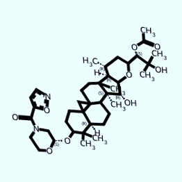 CC(=O)O[C@@H](C1C[C@@H](C)[C@H]2C(O1)[C@H](O)[C@@]1(C)C3CC[C@H]4C(C)(C)C(O[C@H]5CN(C(=O)c6ccno6)CCO5)CCC45CC35CCC21C)C(C)(C)O